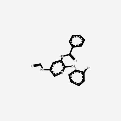 Brc1ccccc1.Cc1ncc(NC=O)cc1NC(=O)c1ccccc1